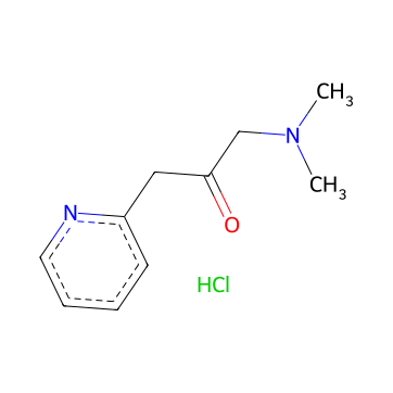 CN(C)CC(=O)Cc1ccccn1.Cl